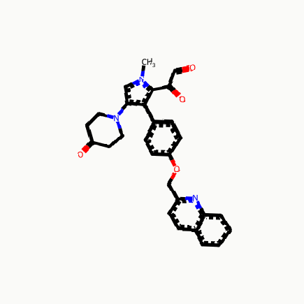 Cn1cc(N2CCC(=O)CC2)c(-c2ccc(OCc3ccc4ccccc4n3)cc2)c1C(=O)C=O